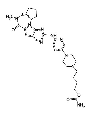 CN(C)C(=O)c1cc2cnc(Nc3ccc(N4CCN(CCCCOC(N)=O)CC4)cn3)nc2n1C1CCCC1